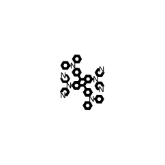 C1=NCCC(N(c2ccncc2)c2ccc3c(-c4ccc(N(c5ccccc5)c5ccccc5)cc4)c4cc(N(c5ccncc5)c5ccncc5)ccc4c(-c4ccc(N(c5ccccc5)c5ccccc5)cc4)c3c2)=C1